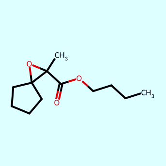 CCCCOC(=O)C1(C)OC12CCCC2